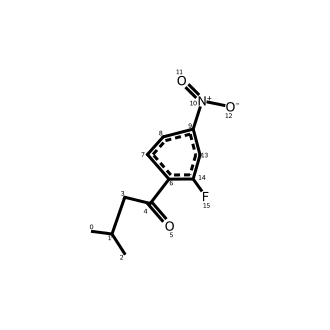 C[C](C)CC(=O)c1ccc([N+](=O)[O-])cc1F